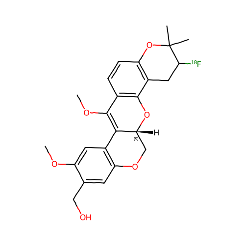 COC1=C2c3cc(OC)c(CO)cc3OC[C@H]2Oc2c1ccc1c2CC([18F])C(C)(C)O1